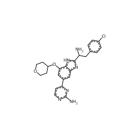 Nc1nccc(-c2cc(OC3CCOCC3)c3[nH]c(C(N)Cc4ccc(Cl)cc4)nc3c2)n1